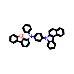 c1ccc(N(c2ccc(-n3c4ccccc4c4c5ccccc5ccc43)cc2)c2cccc3c2oc2ccccc23)cc1